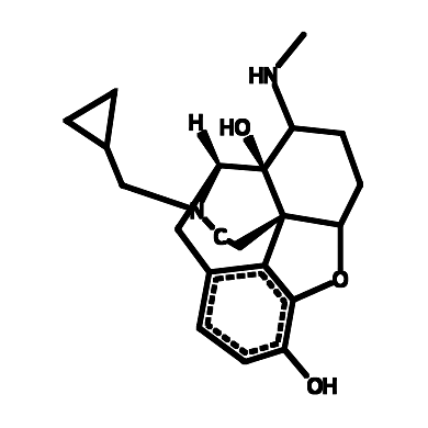 CNC1CCC2Oc3c(O)ccc4c3[C@@]23CCN(CC2CC2)[C@H](C4)[C@]13O